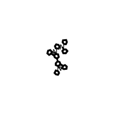 c1ccc(N(c2ccccc2)c2cccc(-n3c4ccccc4c4cc(-c5ccc6c(c5)c5ccccc5n6-c5ccccc5)ccc43)c2)cc1